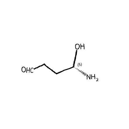 N[C@@H](O)CCC=O